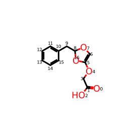 O=C(O)COC1=COC(Cc2ccccc2)O1